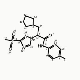 Cc1ccc(NC(=O)[C@H](CC2CCCC2)n2cnc(S(C)(=O)=O)n2)nc1